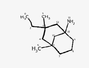 CCC1(C)CC2(C)CCCC(N)(C1)C2